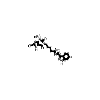 CCCCn1c(=O)n(CCCCc2noc(-c3n[nH]c4ccccc34)n2)c(=O)c2[nH]c(Cl)nc21